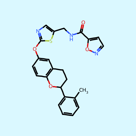 Cc1ccccc1C1CCc2cc(Oc3ncc(CNC(=O)c4ccno4)s3)ccc2O1